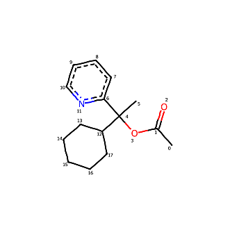 CC(=O)OC(C)(c1ccccn1)C1CCCCC1